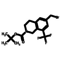 CC(C)(C)OC(=O)N1CCc2cc(CBr)cc(C(F)(F)F)c2C1